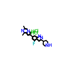 Cc1cn2cc(-c3cc(F)c4cc(C5CCNCC5)nnc4c3)cc2c(C)n1.Cl.Cl